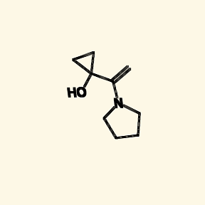 C=C(N1CCCC1)C1(O)CC1